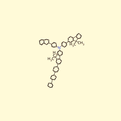 CC1(C)c2ccccc2-c2ccc(-c3ccc(N(c4ccc(-c5ccc6ccccc6c5)cc4)c4ccc5c(c4)C(C)(C)c4cc(-c6ccc(-c7ccc(-c8ccccc8)cc7)cc6)ccc4-5)cc3)cc21